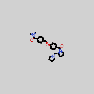 CN(C)C(=O)c1ccc(COc2ccc(C(=O)N3CCC[C@H]3CN3CCCC3)cc2)cc1